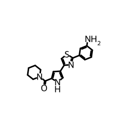 Nc1cccc(-c2nc(-c3c[nH]c(C(=O)N4CCCCC4)c3)cs2)c1